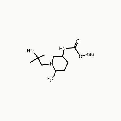 CC(C)(O)CN1CC(NC(=O)OC(C)(C)C)CCC1C(F)(F)F